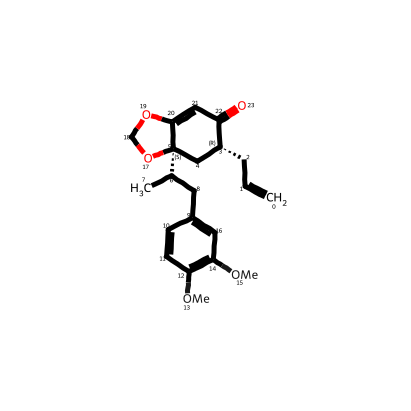 C=CC[C@@H]1C[C@@]2(C(C)Cc3ccc(OC)c(OC)c3)OCOC2=CC1=O